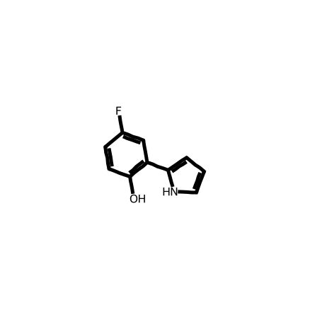 Oc1ccc(F)cc1-c1ccc[nH]1